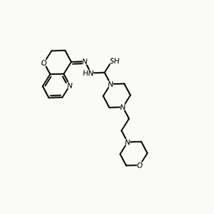 SC(N/N=C1/CCOc2cccnc21)N1CCN(CCN2CCOCC2)CC1